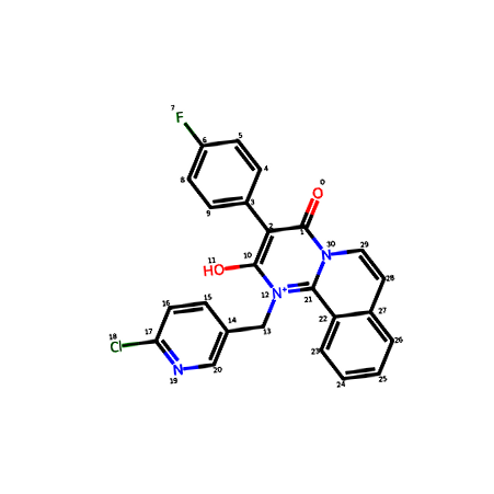 O=c1c(-c2ccc(F)cc2)c(O)[n+](Cc2ccc(Cl)nc2)c2c3ccccc3ccn12